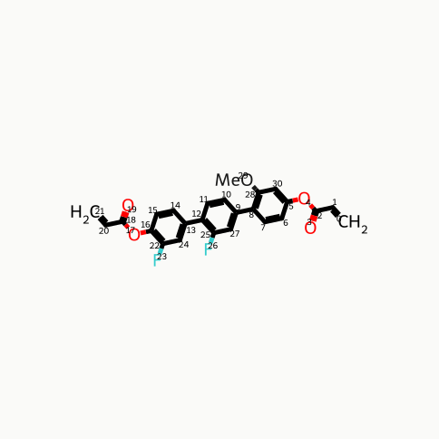 C=CC(=O)Oc1ccc(-c2ccc(-c3ccc(OC(=O)C=C)c(F)c3)c(F)c2)c(OC)c1